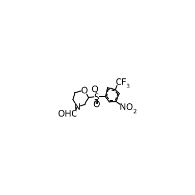 O=CN1CCOC(S(=O)(=O)c2cc([N+](=O)[O-])cc(C(F)(F)F)c2)C1